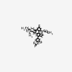 C=CC(=O)N1CCn2nc(-c3nc(-c4cnn(CC(F)F)c(=O)c4)c4ccsc4c3-c3c(F)cc(F)cc3OCCOC)cc2C1C